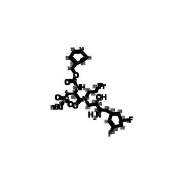 CCCCS(=O)(=O)C[C@@H](NC(=O)OCc1ccccc1)C(=O)N(CCC(C)C)C[C@@H](O)[C@@H](N)Cc1cc(F)cc(F)c1